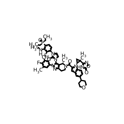 CCP(=O)(CC)c1ccc(-n2ccn(-c3c4c(nn3-c3cc(C)c(F)c(C)c3)CCN(C(=O)c3cc5cc(C6CCOCC6)ccc5n3[C@H]3C[C@]3(C)c3noc(=O)[nH]3)[C@H]4C)c2=O)c(F)c1NC